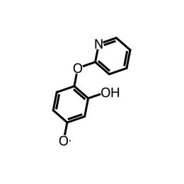 [O]c1ccc(Oc2ccccn2)c(O)c1